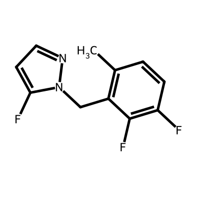 Cc1ccc(F)c(F)c1Cn1nccc1F